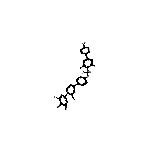 CCCc1ccc(-c2cc(F)c(C(F)(F)Oc3ccc(-c4ccc(-c5cc(F)c(F)c(F)c5)c(F)c4)cc3)c(F)c2)cc1